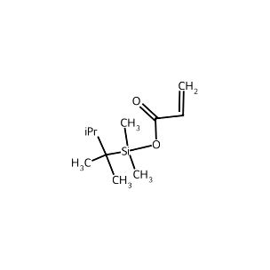 C=CC(=O)O[Si](C)(C)C(C)(C)C(C)C